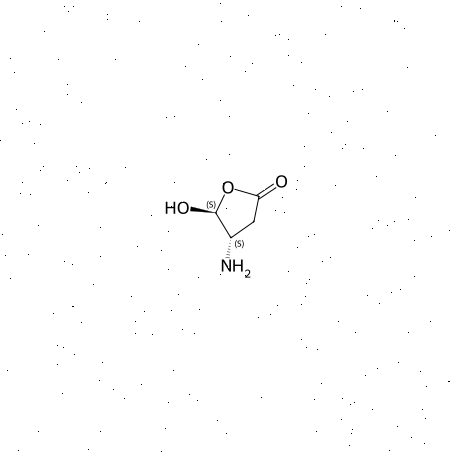 N[C@H]1CC(=O)O[C@@H]1O